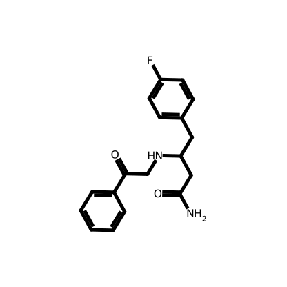 NC(=O)CC(Cc1ccc(F)cc1)NCC(=O)c1ccccc1